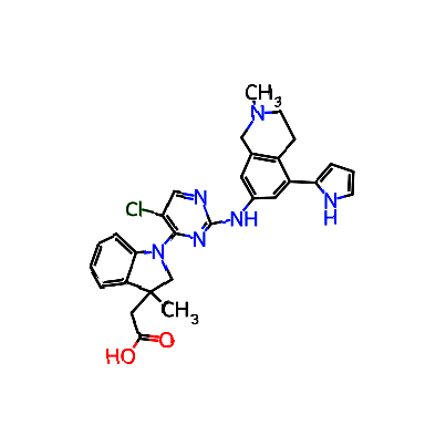 CN1CCc2c(cc(Nc3ncc(Cl)c(N4CC(C)(CC(=O)O)c5ccccc54)n3)cc2-c2ccc[nH]2)C1